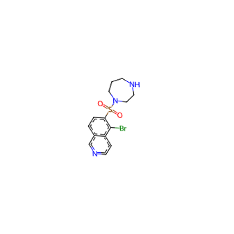 O=S(=O)(c1ccc2cnccc2c1Br)N1CCCNCC1